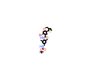 Cc1cc(CNC(=O)OC(C)(C)C)cc(C)c1NC(=O)c1cc2c(cc1Br)OCCc1ccsc1-2